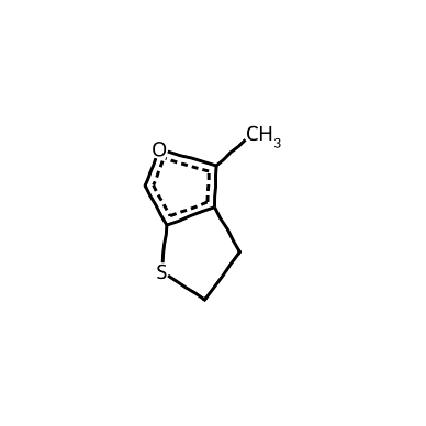 Cc1occ2c1CCS2